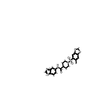 Cc1cc2c(cc1S(=O)(=O)N1CCC(C(=O)Nc3ccc4scnc4c3)CC1)OCO2